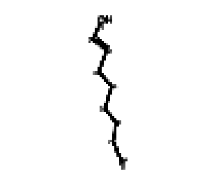 OC=CCCCCCBr